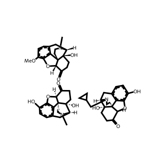 CN1CC[C@]23c4c5ccc(O)c4O[C@H]2C(=O)CC[C@@]3(O)[C@H]1C5.COc1ccc2c3c1O[C@H]1C(=O)CC[C@@]4(O)[C@@H](C2)N(C)CC[C@]314.O=C1CC[C@@]2(O)[C@H]3Cc4ccc(O)c5c4[C@@]2(CCN3CC2CC2)[C@H]1O5